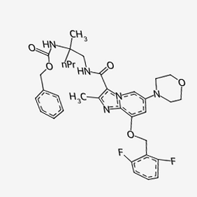 CCCC(C)(CNC(=O)c1c(C)nc2c(OCc3c(F)cccc3F)cc(N3CCOCC3)cn12)NC(=O)OCc1ccccc1